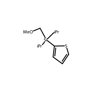 COC[Si](c1cccs1)(C(C)C)C(C)C